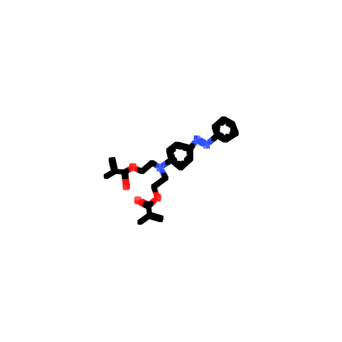 C=C(C)C(=O)OCCN(CCOC(=O)C(=C)C)c1ccc(N=Nc2ccccc2)cc1